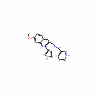 COc1ccc2cc(CNCc3cccnc3)c(-c3ccsc3)nc2c1